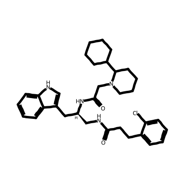 O=C(CCc1ccccc1Cl)NC[C@@H](Cc1c[nH]c2ccccc12)NC(=O)CN1CCCCC1C1CCCCC1